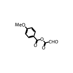 COc1ccc(C(=O)OC(=O)C=O)cc1